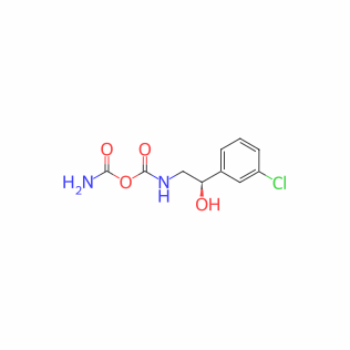 NC(=O)OC(=O)NC[C@H](O)c1cccc(Cl)c1